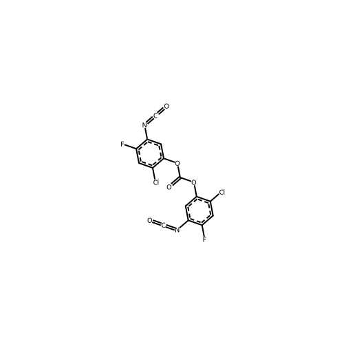 O=C=Nc1cc(OC(=O)Oc2cc(N=C=O)c(F)cc2Cl)c(Cl)cc1F